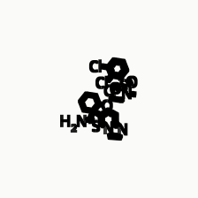 CN(CC(=O)OC1CCCCC1(C(N)=S)c1ccc2nccn2c1)S(=O)(=O)c1cccc(Cl)c1Cl